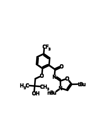 CCCCn1cc(C(C)(C)C)oc1=NC(=O)c1cc(C(F)(F)F)ccc1OCC(C)(C)O